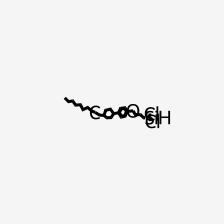 CCCCCCCCCCC1CCC(c2ccc(OCCC[SiH](Cl)Cl)cc2)CC1